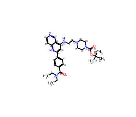 CCN(CC)C(=O)c1ccc(-c2cc(NCCN3CCN(C(=O)OC(C)(C)C)CC3)c3cnccc3n2)cc1